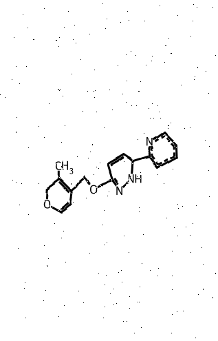 CC1=C(COC2=NNC(c3ccccn3)C=C2)C=COC1